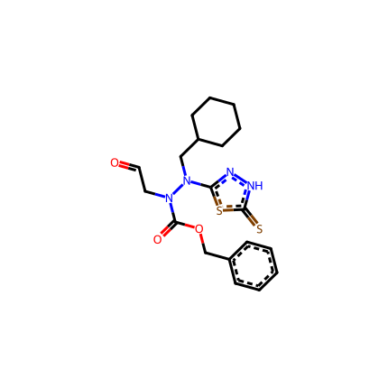 O=CCN(C(=O)OCc1ccccc1)N(CC1CCCCC1)c1n[nH]c(=S)s1